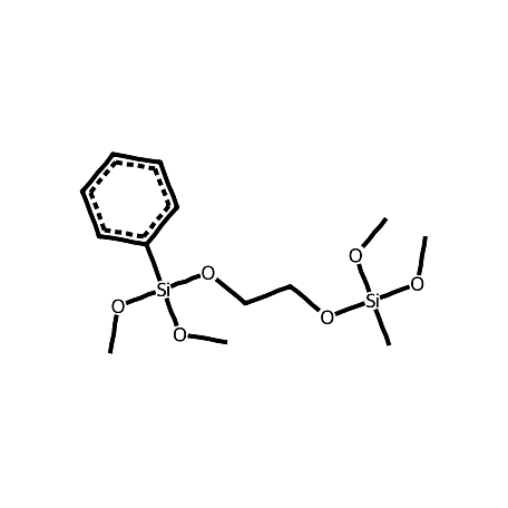 CO[Si](C)(OC)OCCO[Si](OC)(OC)c1ccccc1